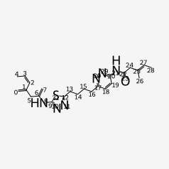 C=C(/C=C\C)CC(=C)Nc1nnc(CCCCc2ccc(NC(=O)C/C(C)=C/C)nn2)s1